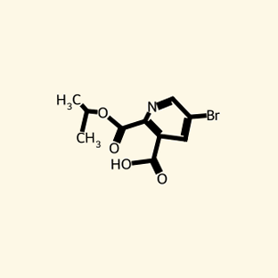 CC(C)OC(=O)c1ncc(Br)cc1C(=O)O